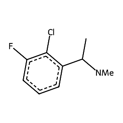 CNC(C)c1cccc(F)c1Cl